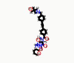 CNC(=O)[C@@](C)(C(=O)NOC1CCCCO1)N(C)C(=O)c1ccc(C#Cc2ccc(CN3CC4(COC4)C3)cc2)cc1